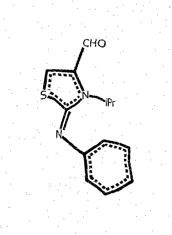 CC(C)n1c(C=O)csc1=Nc1ccccc1